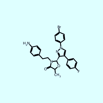 CC1O[C@H](c2nn(-c3ccc(Br)cc3)cc2-c2ccc(F)cc2)N(CCc2ccc(N)cc2)C1=O